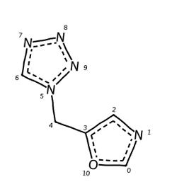 c1ncc(Cn2cnnn2)o1